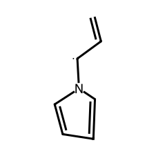 C=C[CH]n1cccc1